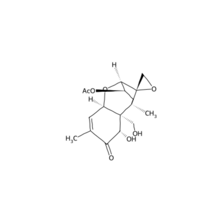 CC(=O)O[C@@H]1C[C@]2(C)[C@@]3(CO)[C@H](O)C(=O)C(C)=C[C@H]3O[C@H]1[C@@]21CO1